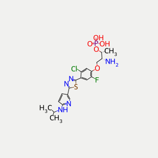 CC(C)Nc1ccc(-c2nnc(-c3cc(F)c(OC[C@@H](N)[C@@H](C)OP(=O)(O)O)cc3Cl)s2)cn1